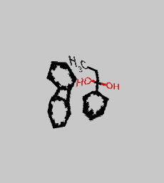 CCC(O)(O)c1ccccc1.c1ccc2c(c1)-c1ccccc1-2